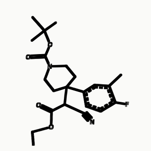 CCOC(=O)C(C#N)C1(c2ccc(F)c(C)c2)CCN(C(=O)OC(C)(C)C)CC1